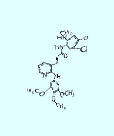 CNc1cc(Cl)c(Cl)cc1NC(=O)/C=C/c1cccnc1Nc1cc(OC)c(OC)c(OC)c1